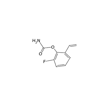 C=Cc1cccc(F)c1OC(N)=O